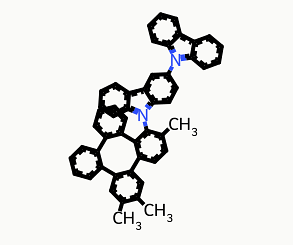 Cc1cc2c(cc1C)-c1ccc(C)c(-n3c4ccccc4c4cc(-n5c6ccccc6c6ccccc65)ccc43)c1-c1ccccc1-c1ccccc1-2